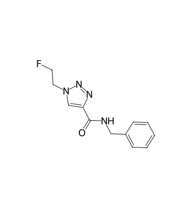 O=C(NCc1ccccc1)c1cn(CCF)nn1